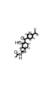 CC(=O)Nc1nc2c(s1)C(O)=C(C(=O)c1ccc(C(C)C)nc1)CC2